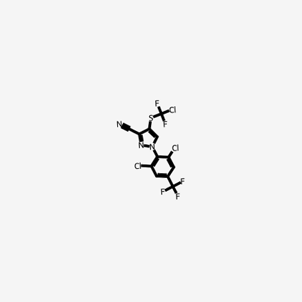 N#Cc1nn(-c2c(Cl)cc(C(F)(F)F)cc2Cl)cc1SC(F)(F)Cl